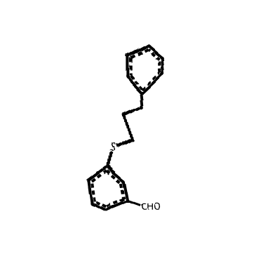 O=Cc1cccc(SCCCc2ccccc2)c1